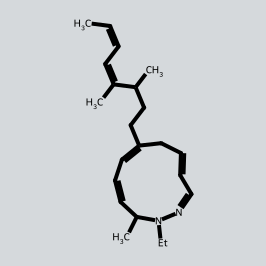 C/C=C\C=C(\C)C(C)CC/C1=C/C=C\C(C)N(CC)/N=C\C=C\C1